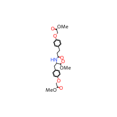 COC(=O)COc1ccc(CCC(=O)NC(Cc2ccc(OCC(=O)OC)cc2)C(=O)OC)cc1